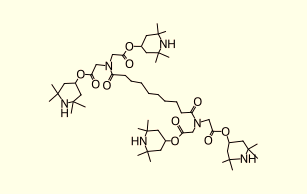 CC1(C)CC(OC(=O)CN(CC(=O)OC2CC(C)(C)NC(C)(C)C2)C(=O)CCCCCCCCC(=O)N(CC(=O)OC2CC(C)(C)NC(C)(C)C2)CC(=O)OC2CC(C)(C)NC(C)(C)C2)CC(C)(C)N1